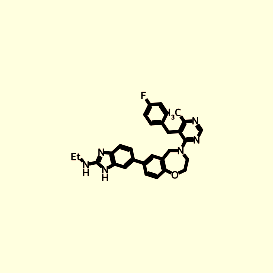 CCNc1nc2ccc(-c3ccc4c(c3)CN(c3ncnc(C)c3Cc3ccc(F)cc3)CCO4)cc2[nH]1